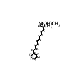 CC(CCCC/C=C/CCCCc1cccnc1)CN(C)O